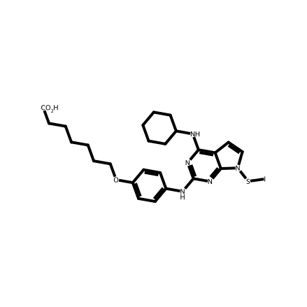 O=C(O)CCCCCCOc1ccc(Nc2nc(NC3CCCCC3)c3ccn(SI)c3n2)cc1